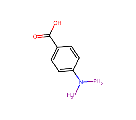 O=C(O)c1ccc(N(P)P)cc1